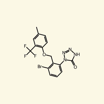 Cc1ccc(OCc2c(Br)cccc2-n2nn[nH]c2=O)c(C(F)(F)F)c1